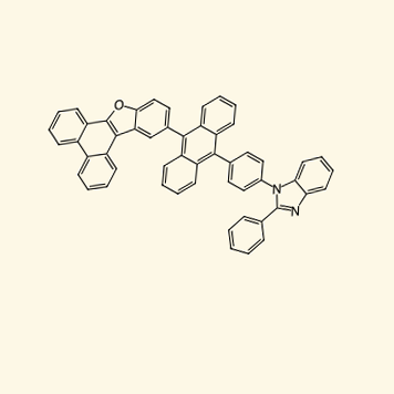 c1ccc(-c2nc3ccccc3n2-c2ccc(-c3c4ccccc4c(-c4ccc5oc6c7ccccc7c7ccccc7c6c5c4)c4ccccc34)cc2)cc1